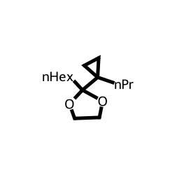 [CH2]CCC1(C2(CCCCCC)OCCO2)CC1